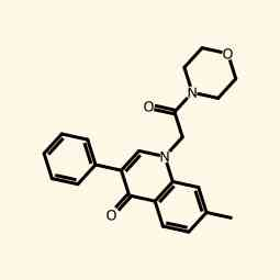 Cc1ccc2c(=O)c(-c3ccccc3)cn(CC(=O)N3CCOCC3)c2c1